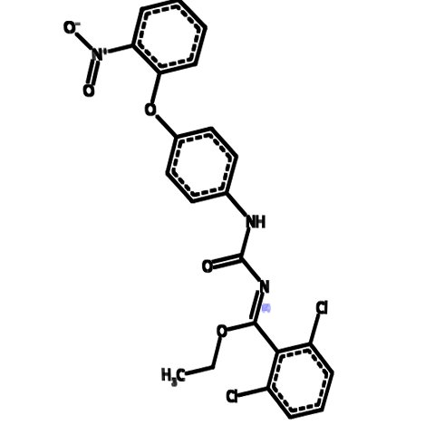 CCO/C(=N\C(=O)Nc1ccc(Oc2ccccc2[N+](=O)[O-])cc1)c1c(Cl)cccc1Cl